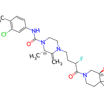 C=C1[C@H](C)N(C(=O)Nc2ccc(C(F)(F)F)c(Cl)c2)CCN1CCC(F)C(=O)N1CCC2(CC2)[C@H](O)C1